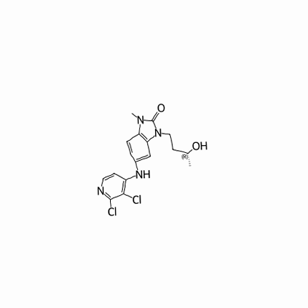 C[C@@H](O)CCn1c(=O)n(C)c2ccc(Nc3ccnc(Cl)c3Cl)cc21